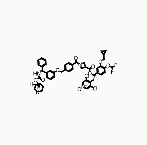 O=C(N[C@@H](c1ccccc1)c1cccc(OCc2ccc(C(=O)N3CC(C(=O)O[C@@H](Cc4c(Cl)c[n+]([O-])cc4Cl)c4ccc(OC(F)F)c(OCC5CC5)c4)C3)cc2)c1)O[C@H]1CN2CCC1CC2